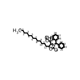 CCCCCCCCCCCCCC1OC(=O)N(C(c2ccccc2)c2ccccc2)C1C(=O)OC